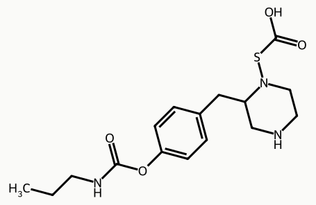 CCCNC(=O)Oc1ccc(CC2CNCCN2SC(=O)O)cc1